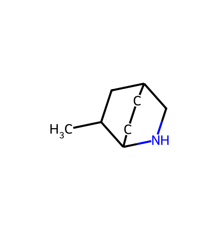 CC1CC2CCC1NC2